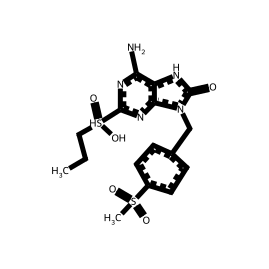 CCC[SH](=O)(O)c1nc(N)c2[nH]c(=O)n(Cc3ccc(S(C)(=O)=O)cc3)c2n1